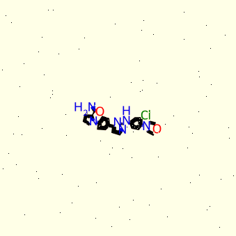 NC(=O)[C@@H]1CCCN1c1ccc(-c2ccnc(Nc3ccc(N4CCOCC4)c(Cl)c3)n2)cc1